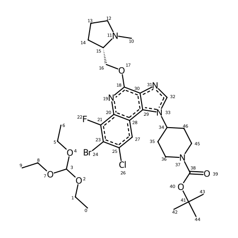 CCOC(OCC)OCC.CN1CCC[C@H]1COc1nc2c(F)c(Br)c(Cl)cc2c2c1ncn2C1CCN(C(=O)OC(C)(C)C)CC1